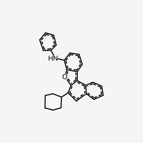 c1ccc(Nc2cccc3c2oc2c(C4CCCCC4)cc4ccccc4c23)cc1